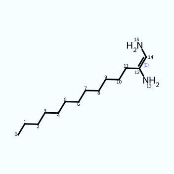 CCCCCCCCCCCC/C(N)=C\N